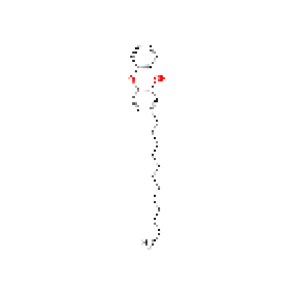 CCCCCCCCCCCCc1ccc(Oc2ccccc2)c(O)c1